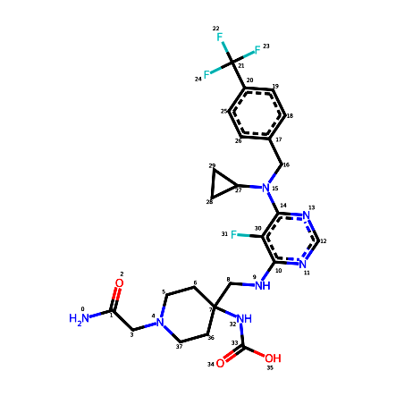 NC(=O)CN1CCC(CNc2ncnc(N(Cc3ccc(C(F)(F)F)cc3)C3CC3)c2F)(NC(=O)O)CC1